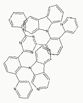 c1ccc(-c2nc(-c3cccc(-c4ccccn4)c3-n3c4ccccc4c4ccncc43)nc(-c3cccc(-c4ccccn4)c3-n3c4ccccc4c4ccncc43)n2)cc1